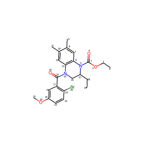 CCOC(=O)N1c2cc(C)c(C)cc2N(C(=O)c2cc(OC)ccc2Br)CC1CC